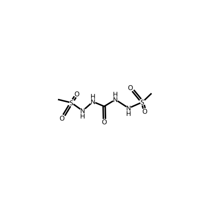 CS(=O)(=O)NNC(=O)NNS(C)(=O)=O